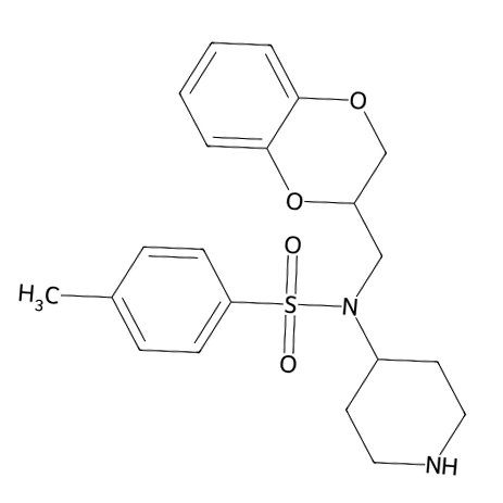 Cc1ccc(S(=O)(=O)N(CC2COc3ccccc3O2)C2CCNCC2)cc1